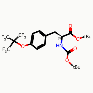 CC(C)(C)OC(=O)N[C@@H](Cc1ccc(OC(C(F)(F)F)(C(F)(F)F)C(F)(F)F)cc1)C(=O)OC(C)(C)C